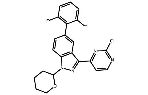 Fc1cccc(F)c1-c1ccc2c(c1)c(-c1ccnc(Cl)n1)nn2C1CCCCO1